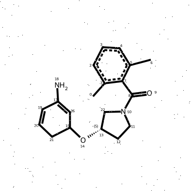 Cc1cccc(C)c1C(=O)N1CC[C@H](OC2C=C(N)C=CC2)C1